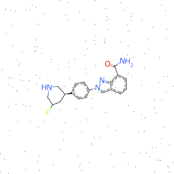 NC(=O)c1cccc2cn(-c3ccc([C@@H]4CNC[C@H](F)C4)cc3)nc12